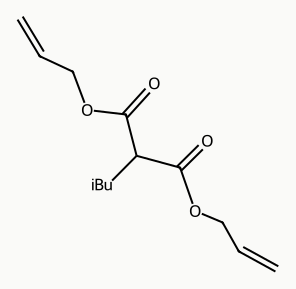 C=CCOC(=O)C(C(=O)OCC=C)C(C)CC